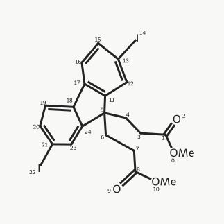 COC(=O)CCC1(CCC(=O)OC)c2cc(I)ccc2-c2ccc(I)cc21